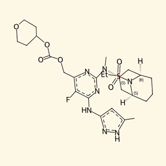 CCS(=O)(=O)N1[C@@H]2CCC[C@H]1C[C@H](N(C)c1nc(COC(=O)OC3CCOCC3)c(F)c(Nc3cc(C)[nH]n3)n1)C2